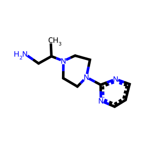 CC(CN)N1CCN(c2ncccn2)CC1